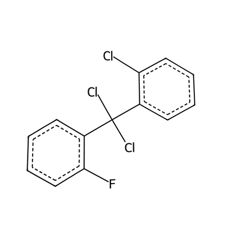 Fc1ccccc1C(Cl)(Cl)c1ccccc1Cl